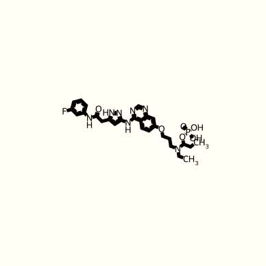 CCC(OP(=O)(O)O)N(CC)CCCOc1ccc2c(Nc3cc(CC(=O)Nc4cccc(F)c4)[nH]n3)ncnc2c1